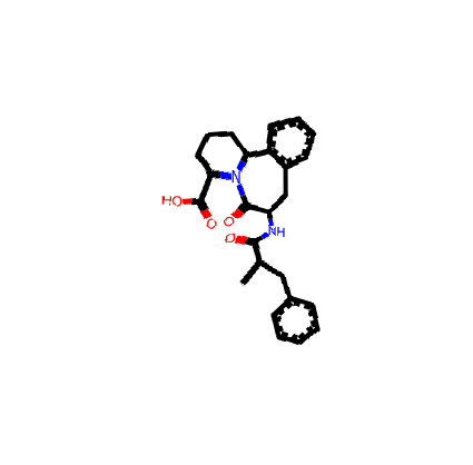 CC(Cc1ccccc1)C(=O)NC1Cc2ccccc2C2CCCC(C(=O)O)N2C1=O